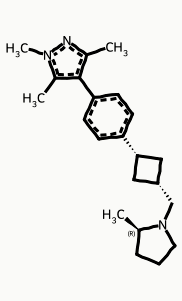 Cc1nn(C)c(C)c1-c1ccc([C@H]2C[C@@H](CN3CCC[C@H]3C)C2)cc1